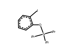 CC(C)[Si](Oc1ccccc1I)(C(C)C)C(C)C